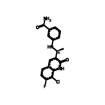 C[C@H](Nc1cccc(C(N)=O)c1)c1cc2ccc(F)c(Cl)c2[nH]c1=O